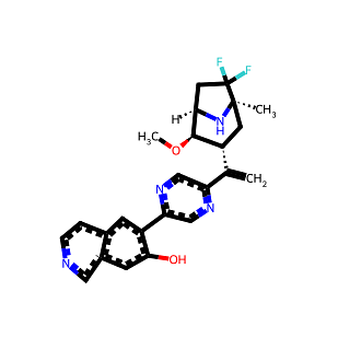 C=C(c1cnc(-c2cc3ccncc3cc2O)cn1)[C@H]1C[C@@]2(C)N[C@H](CC2(F)F)[C@@H]1OC